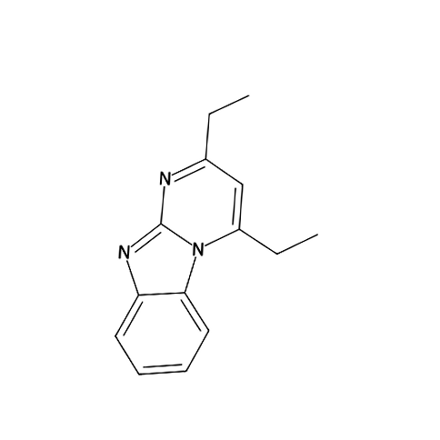 CCc1cc(CC)n2c(n1)nc1ccccc12